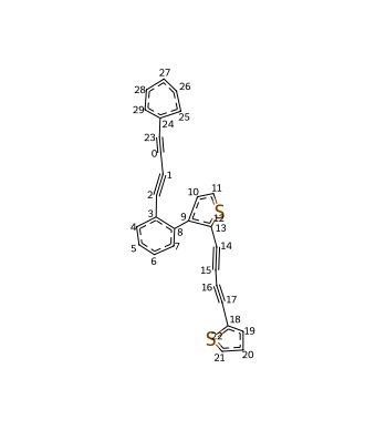 C(C#Cc1ccccc1-c1ccsc1C#CC#Cc1cccs1)#Cc1ccccc1